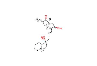 C=CC(O)(CC=C[C@H]1[C@@H]2CC(=C)C(=O)[C@H]2C[C@H]1O)C1CCCCC1